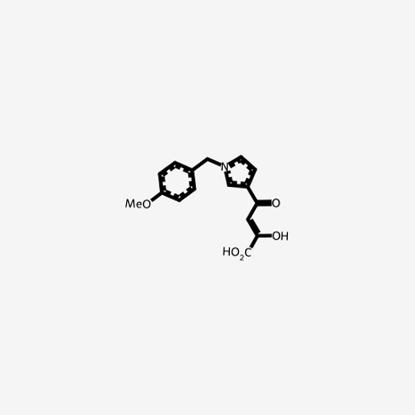 COc1ccc(Cn2ccc(C(=O)C=C(O)C(=O)O)c2)cc1